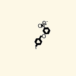 O=[N+]([O-])c1cccc(OCc2ccc(I)cc2)c1